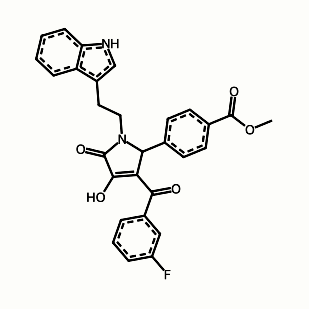 COC(=O)c1ccc(C2C(C(=O)c3cccc(F)c3)=C(O)C(=O)N2CCc2c[nH]c3ccccc23)cc1